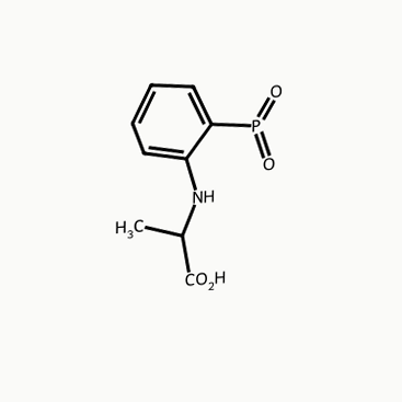 CC(Nc1ccccc1P(=O)=O)C(=O)O